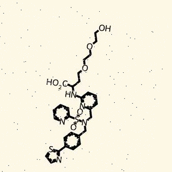 O=C(O)C(CCOCCOCCO)Nc1cccc(CN(Cc2ccc(-c3nccs3)cc2)S(=O)(=O)c2ccccn2)n1